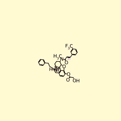 CN(C(=O)/C=C/c1cccc(C(F)(F)F)c1)C1CC[C@H]2[C@H]3Cc4ccc(OC(=O)CO)c5c4[C@@]2(CCN3CCc2ccccc2)C1O5